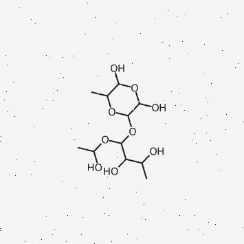 CC(O)OC(OC1OC(C)C(O)OC1O)C(O)C(C)O